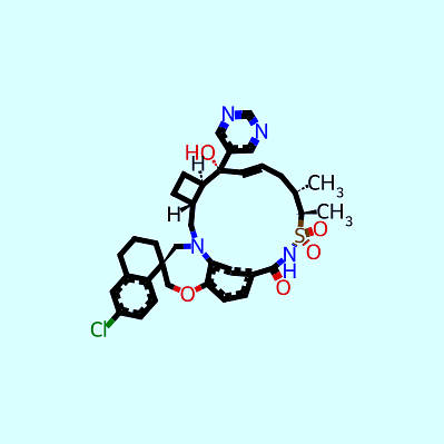 C[C@@H]1[C@@H](C)C/C=C/[C@](O)(c2cncnc2)[C@@H]2CC[C@H]2CN2C[C@@]3(CCCc4cc(Cl)ccc43)COc3ccc(cc32)C(=O)NS1(=O)=O